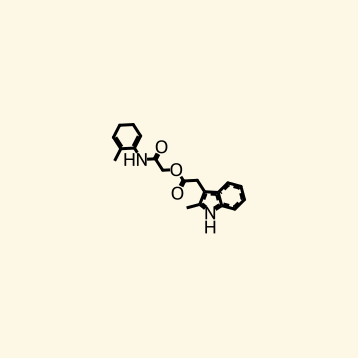 CC1=CCCC=C1NC(=O)COC(=O)Cc1c(C)[nH]c2ccccc12